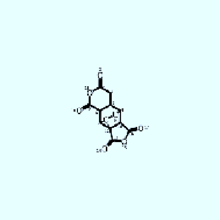 O=C1CC2C3CCC(C2C(=O)O1)C1C(=O)OC(=O)C31